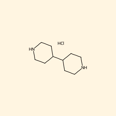 C1CC(C2CCNCC2)CCN1.Cl